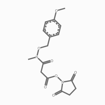 COc1ccc(CON(C)C(=O)CC(=O)ON2C(=O)CCC2=O)cc1